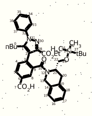 CCCCc1c(-c2ccc(C(=O)O)cc2C(=O)N2Cc3ccccc3C[C@H]2CO[Si](C)(C)C(C)(C)C)c(C(=O)OCC)nn1-c1ccccc1